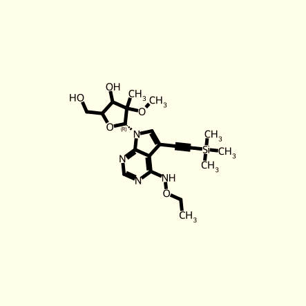 CCONc1ncnc2c1c(C#C[Si](C)(C)C)cn2[C@@H]1OC(CO)C(O)C1(C)OC